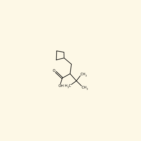 CC(C)(C)C(CC1CCC1)C(=O)O